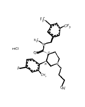 Cc1cc(F)ccc1[C@@H]1CN(CCCO)CC[C@H]1C(=O)N(C)Cc1cc(C(F)(F)F)cc(C(F)(F)F)c1.Cl